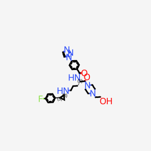 O=C(N[C@@H](CCCN[C@@H]1C[C@H]1c1ccc(F)cc1)C(=O)N1CCN(CCO)CC1)c1ccc(-n2ccnn2)cc1